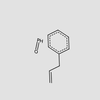 C=CCc1ccccc1.O=P